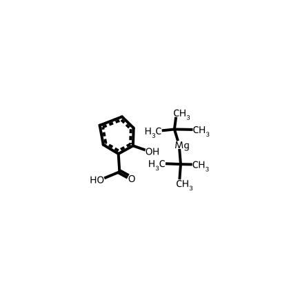 C[C](C)(C)[Mg][C](C)(C)C.O=C(O)c1ccccc1O